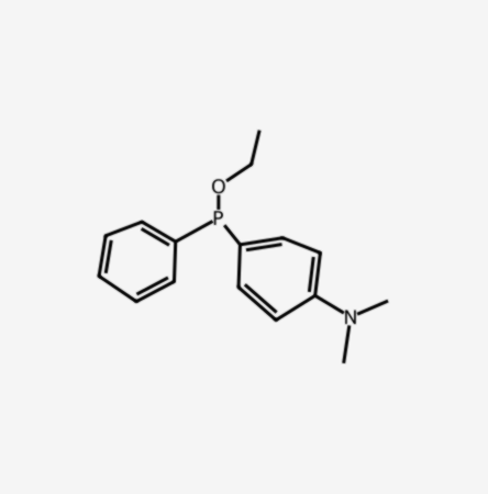 CCOP(c1ccccc1)c1ccc(N(C)C)cc1